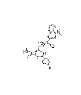 CCP(C)(=CNC)c1cc(CCNC(=O)c2cc(N(C)C)c3ncccc3c2)nc(-c2ccc(F)cc2)c1C